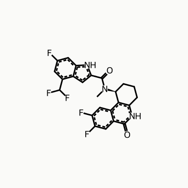 CN(C(=O)c1cc2c(C(F)F)cc(F)cc2[nH]1)[C@H]1CCCc2[nH]c(=O)c3cc(F)c(F)cc3c21